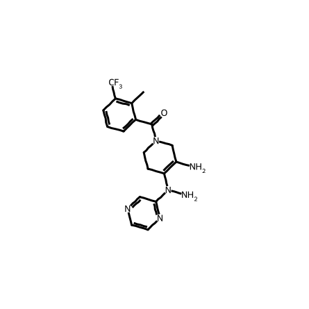 Cc1c(C(=O)N2CCC(N(N)c3cnccn3)=C(N)C2)cccc1C(F)(F)F